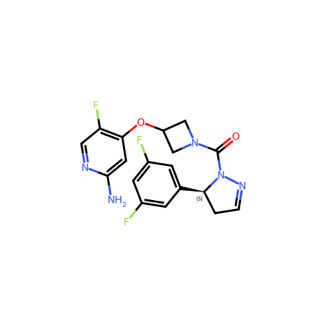 Nc1cc(OC2CN(C(=O)N3N=CC[C@H]3c3cc(F)cc(F)c3)C2)c(F)cn1